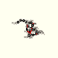 CN[C@H](CC(C)C)C(=O)N[C@H]1C(=O)N[C@@H](CC(N)=O)C(=O)NC2C(=O)N[C@H]3C(=O)N[C@H](C(=O)NC(C(=O)NCC(=O)Nc4ccc(-c5cn(-c6ccc(OC)cc6)nn5)cc4)c4cc(O)cc(O)c4-c4cc3ccc4O)[C@H](O)c3ccc(c(Cl)c3)Oc3cc2cc(c3O[C@@H]2O[C@H](CO)[C@@H](O)[C@H](O)[C@H]2OC2C[C@](C)(N)[C@H](O)[C@H](C)O2)Oc2ccc(cc2Cl)[C@H]1O